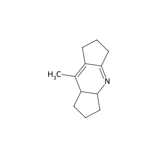 CC1=C2CCCC2=NC2CCCC12